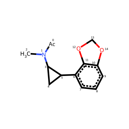 CC(=O)N(C)C1CC1c1cccc2c1OCO2